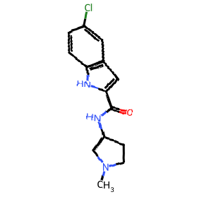 CN1CCC(NC(=O)c2cc3cc(Cl)ccc3[nH]2)C1